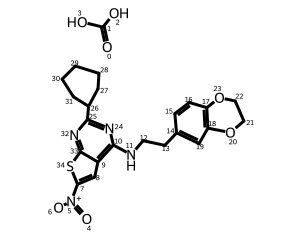 O=C(O)O.O=[N+]([O-])c1cc2c(NCCc3ccc4c(c3)OCCO4)nc(C3CCCCC3)nc2s1